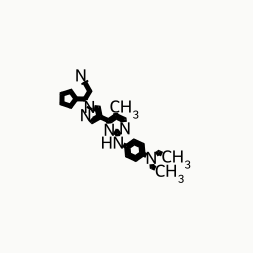 CCN(CC)c1ccc(Nc2ncc(C)c(-c3cnn(C(CC#N)C4CCCC4)c3)n2)cc1